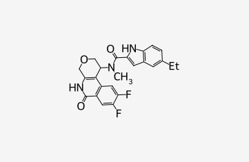 CCc1ccc2[nH]c(C(=O)N(C)C3COCc4[nH]c(=O)c5cc(F)c(F)cc5c43)cc2c1